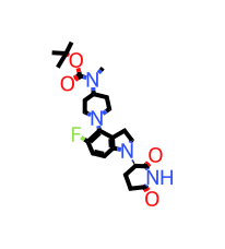 CN(C(=O)OC(C)(C)C)C1CCN(c2c(F)ccc3c2CCN3[C@H]2CCC(=O)NC2=O)CC1